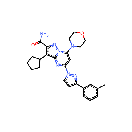 Cc1cccc(-c2ccn(-c3cc(N4CCOCC4)n4nc(C(N)=O)c(C5CCCC5)c4n3)n2)c1